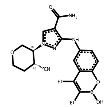 CCC1=C(CC)c2cc(Nc3nn([C@@H]4COCC[C@H]4C#N)cc3C(N)=O)ccc2OB1O